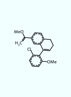 C=C(OC)c1ccc2c(c1)C(c1c(Cl)cccc1OC)=CCC2